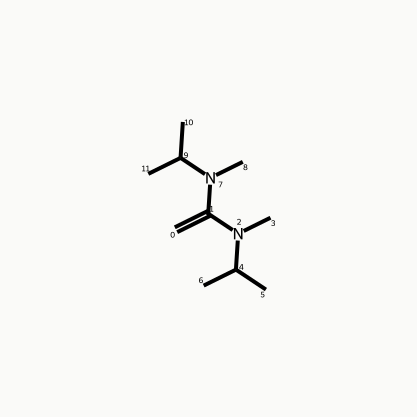 C=C(N(C)C(C)C)N(C)C(C)C